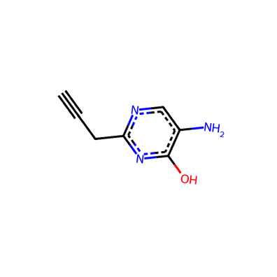 C#CCc1ncc(N)c(O)n1